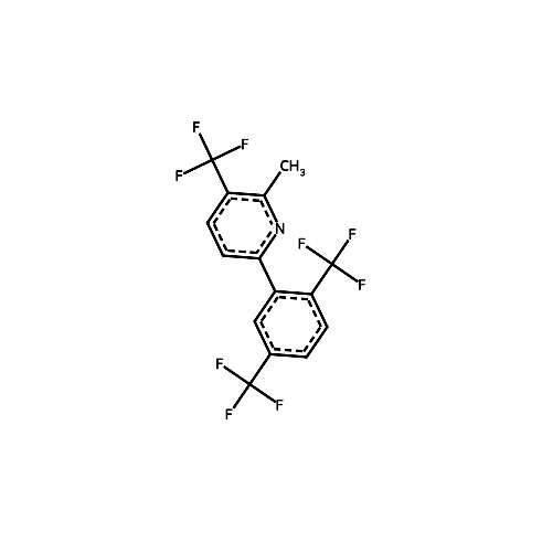 Cc1nc(-c2cc(C(F)(F)F)ccc2C(F)(F)F)ccc1C(F)(F)F